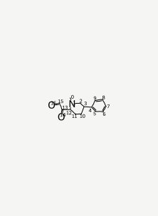 CN1CC(c2ccccc2)CCC1C(=O)C=O